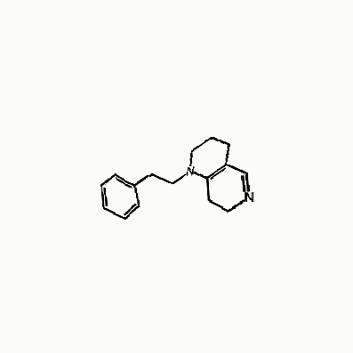 C1=NCCC2=C1CCCN2CCc1ccccc1